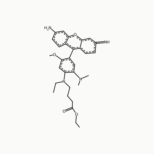 CCOC(=O)CCCN(CC)c1cc(OC)c(-c2c3ccc(=N)cc-3oc3cc(N)ccc23)cc1N(C)C